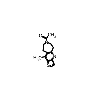 CC(=O)N1CCc2nc3ccsc3c(C)c2CC1